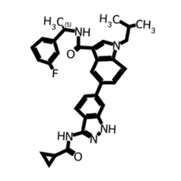 CC(C)Cn1cc(C(=O)N[C@@H](C)c2cccc(F)c2)c2cc(-c3ccc4c(NC(=O)C5CC5)n[nH]c4c3)ccc21